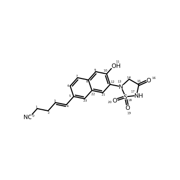 N#CCC/C=C/c1ccc2cc(O)c(N3CC(=O)NS3(=O)=O)cc2c1